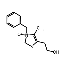 CC1=C(CCO)SC[N+]1([O-])Cc1ccccc1